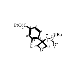 CCOC(=O)c1ccc(C2(N[S@+]([O-])C(C)(C)C)COC2)c(F)c1